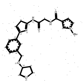 CC(C)(C)n1ccc(C(=O)NCC(=O)NC2=NC(c3cccc(CO[C@H]4CCOC4)c3)=CC2)c1